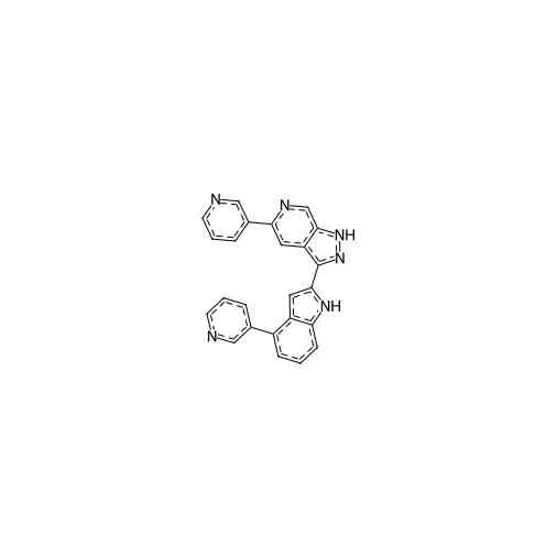 c1cncc(-c2cc3c(-c4cc5c(-c6cccnc6)cccc5[nH]4)n[nH]c3cn2)c1